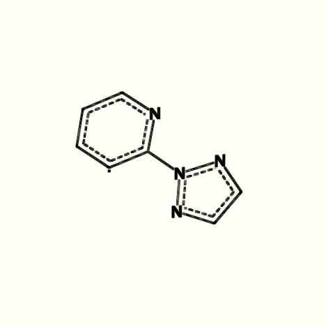 [c]1cccnc1-n1nccn1